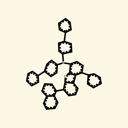 c1ccc(-c2ccc(N(c3ccc(-c4ccccc4)cc3)c3ccc(-c4ccccc4)c4c3oc3c(-c5cccc6ccccc56)cccc34)cc2)cc1